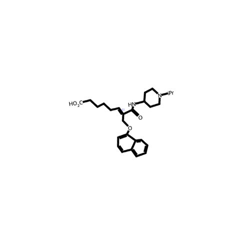 CC(C)N1CCC(NC(=O)/C(=C/CCCCC(=O)O)COc2cccc3ccccc23)CC1